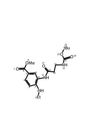 CCNc1ccc(C(=O)OC)cc1NC(=O)CCNC(=O)OC(C)(C)C